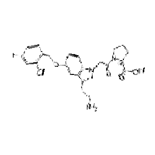 NCCc1cn(CC(=O)N2CCC[C@H]2C(=O)O)c2ccc(OCc3ccc(F)cc3Cl)cc12